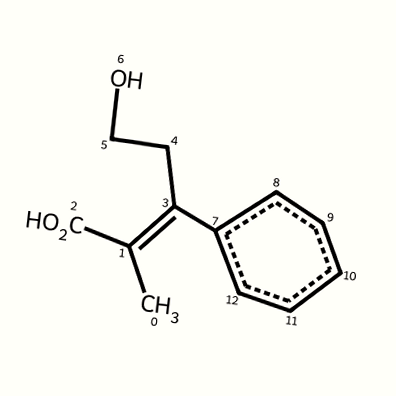 CC(C(=O)O)=C(CCO)c1ccccc1